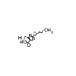 CCCCCOc1ncc(C(=O)O)c(C)n1